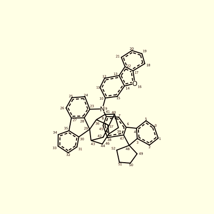 c1ccc2c(c1)-c1cc(N(c3ccc4c(c3)oc3ccccc34)c3cccc4c3C3(c5ccccc5-4)C4CC5CC(C4)CC3C5)ccc1C21CCCC1